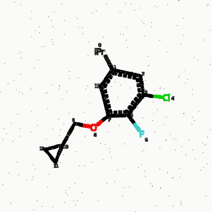 CC(C)c1cc(Cl)c(F)c(OCC2CC2)c1